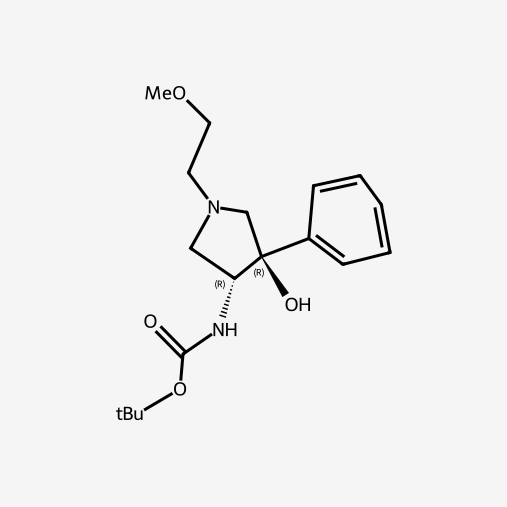 COCCN1C[C@@H](NC(=O)OC(C)(C)C)[C@@](O)(c2ccccc2)C1